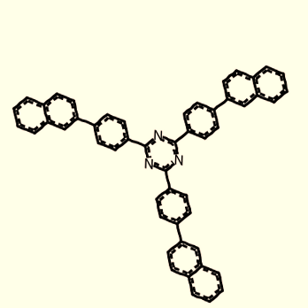 c1ccc2cc(-c3ccc(-c4nc(-c5ccc(-c6ccc7ccccc7c6)cc5)nc(-c5ccc(-c6ccc7ccccc7c6)cc5)n4)cc3)ccc2c1